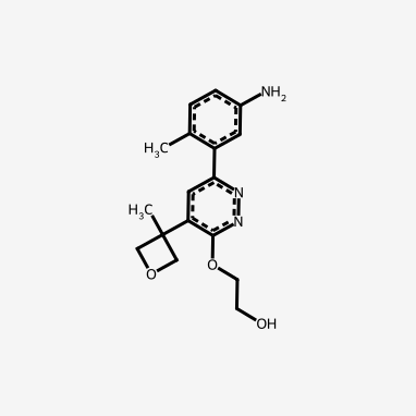 Cc1ccc(N)cc1-c1cc(C2(C)COC2)c(OCCO)nn1